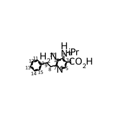 CC(C)Nc1c(C(=O)O)cnc(CCc2ccccc2)c1N